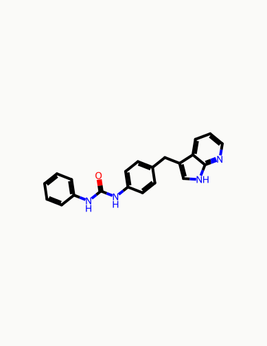 O=C(Nc1ccccc1)Nc1ccc(Cc2c[nH]c3ncccc23)cc1